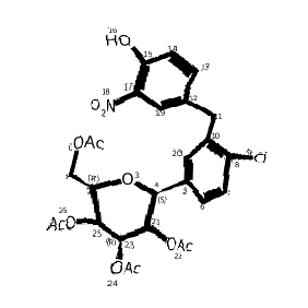 CC(=O)OC[C@H]1O[C@@H](c2ccc(Cl)c(Cc3ccc(O)c([N+](=O)[O-])c3)c2)C(OC(C)=O)[C@@H](OC(C)=O)C1OC(C)=O